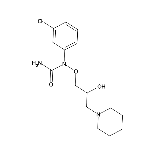 NC(=O)N(OCC(O)CN1CCCCC1)c1cccc(Cl)c1